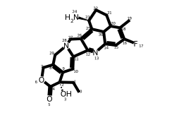 CC[C@@]1(O)C(=O)OCC2=C1C=C1C3=NC4=CC(F)=C(C)C5CC[C@H](N)C(=C3CN1C2)C45